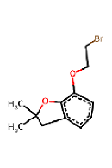 CC1(C)Cc2cccc(OCCBr)c2O1